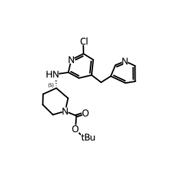 CC(C)(C)OC(=O)N1CCC[C@H](Nc2cc(Cc3cccnc3)cc(Cl)n2)C1